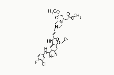 COC(=O)CC(CC(=O)OC)N1CCN(CC=CC(=O)Nc2cc3c(Nc4ccc(F)c(Cl)c4)ncnc3cc2OCC2CC2)CC1